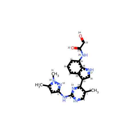 Cc1cnc(Nc2cc(C)n(C)n2)nc1-c1c[nH]c2c(NC(=O)C=O)cccc12